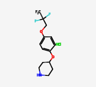 Cl.FC(F)(F)C(F)(F)COc1ccc(OC2CCNCC2)cc1